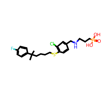 CC(C)(CCCCSc1ccc(CNCCCP(=O)(O)O)cc1Cl)c1ccc(F)cc1